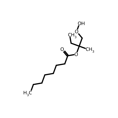 CCCCCCCC(=O)OC(C)(CC)COO